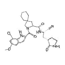 COc1cc(Cl)c2[nH]c(C(=O)N3CC4(CCCCC4)CC3C(=O)N[C@H](C#N)C[C@@H]3CCNC3=O)cc2c1